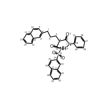 CCN(C(=O)C(CCCc1ccc2ccccc2c1)C(=O)NS(=O)(=O)c1ccc2ccccc2c1)c1ccccc1